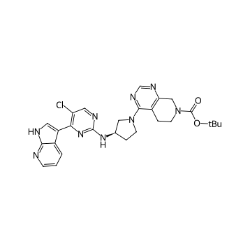 CC(C)(C)OC(=O)N1CCc2c(ncnc2N2CC[C@@H](Nc3ncc(Cl)c(-c4c[nH]c5ncccc45)n3)C2)C1